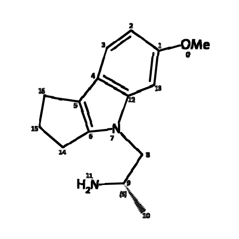 COc1ccc2c3c(n(C[C@H](C)N)c2c1)CCC3